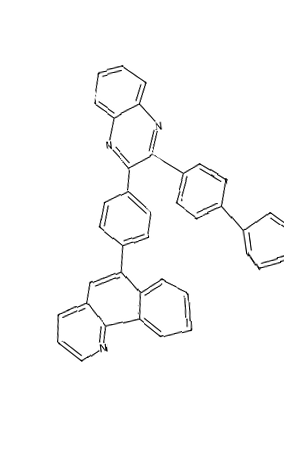 c1ccc(-c2ccc(-c3nc4ccccc4nc3-c3ccc(-c4cc5cccnc5c5ccccc45)cc3)cc2)cc1